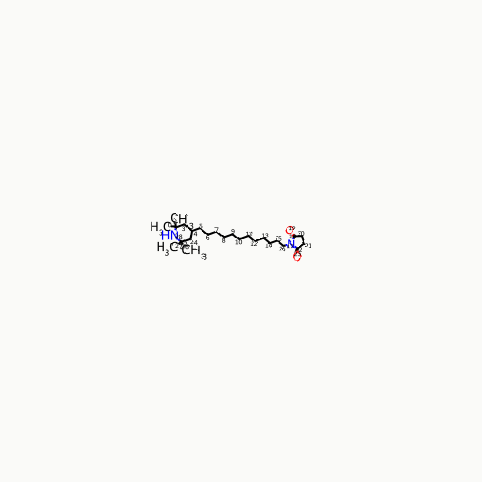 CC1(C)CC(CCCCCCCCCCCCN2C(=O)CCC2=O)CC(C)(C)N1